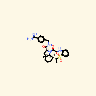 CCS(=O)(=O)c1ccccc1NCC(=O)N1[C@H](C(=O)NCc2ccc(C(=N)N)cc2)C[C@H]2CCCC[C@@H]21